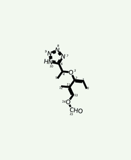 C/C=C(OC(C)c1nnn[nH]1)\C(C)=C\OC=O